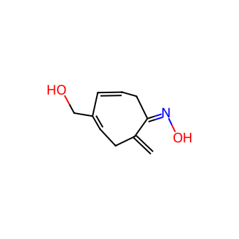 C=C1C/C=C(CO)\C=C/C/C1=N/O